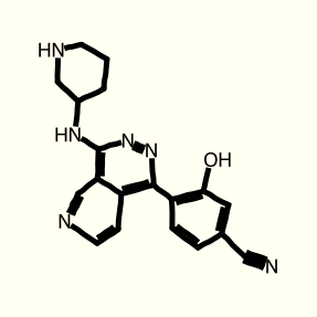 N#Cc1ccc(-c2nnc(NC3CCCNC3)c3cnccc23)c(O)c1